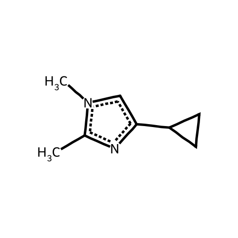 Cc1nc(C2CC2)cn1C